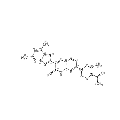 CC(=O)N1CCN(c2ccc3cc(-c4cn5cc(C)nc(C)c5n4)c(=O)oc3c2)CC1C